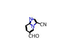 N#Cc1cnc2ccc(C=O)cn12